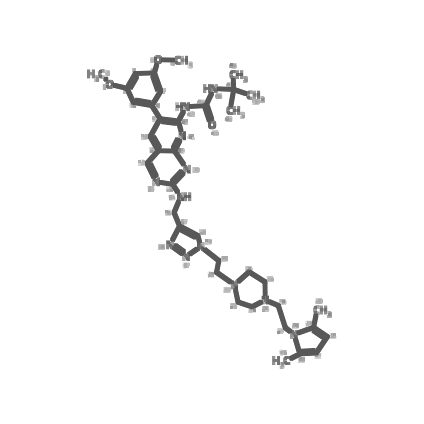 COc1cc(OC)cc(-c2cc3cnc(NCc4cn(CCN5CCN(CCn6c(C)ccc6C)CC5)nn4)nc3nc2NC(=O)NC(C)(C)C)c1